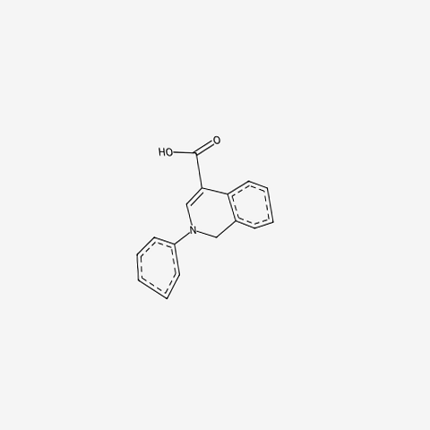 O=C(O)C1=CN(c2ccccc2)Cc2ccccc21